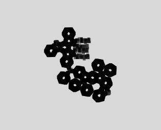 CCCCCCCC1(CCCCCCC)c2ccccc2-c2c1c1c(c3c2oc2ccccc23)-c2ccc(N(c3ccccc3)c3ccc4c(c3)C(c3ccccc3)(c3ccccc3)c3cc5c(cc3-4)C(c3ccccc3)(c3ccccc3)c3ccc4oc6ccccc6c4c3-5)cc2C1(CCCCCCC)CCCCCCC